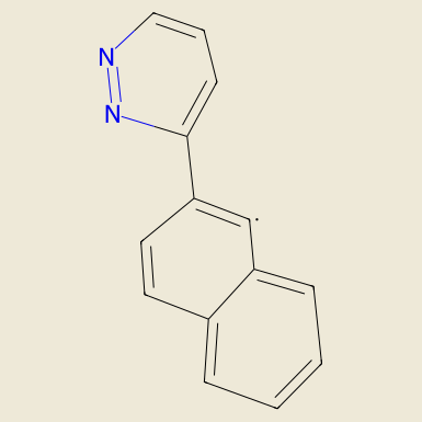 [c]1c(-c2cccnn2)ccc2ccccc12